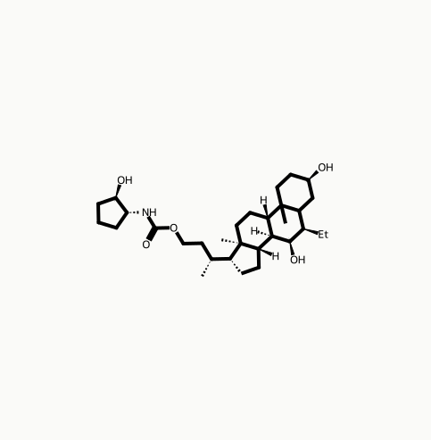 CC[C@@H]1C2C[C@H](O)CCC2(C)[C@H]2CC[C@]3(C)[C@@H]([C@H](C)CCOC(=O)N[C@@H]4CCC[C@H]4O)CC[C@H]3[C@@H]2[C@@H]1O